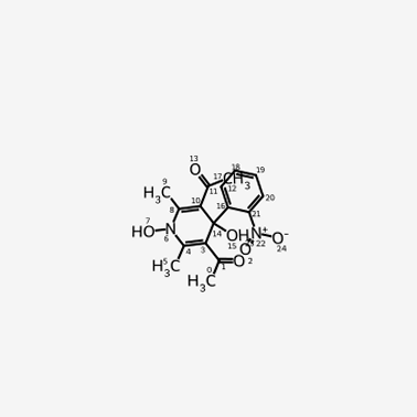 CC(=O)C1=C(C)N(O)C(C)=C(C(C)=O)C1(O)c1ccccc1[N+](=O)[O-]